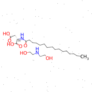 CCCCCCCCCCCCCCCC(=O)N[C@@H](CC(=O)O)C(=O)O.OCCNCCO